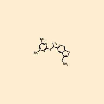 CC(Sc1nc(N)cc(C#N)n1)c1cc2c(CN)coc2cn1